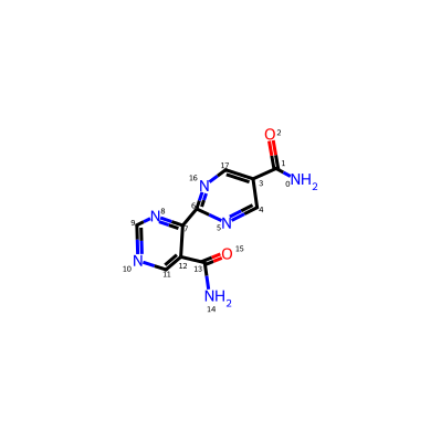 NC(=O)c1cnc(-c2ncncc2C(N)=O)nc1